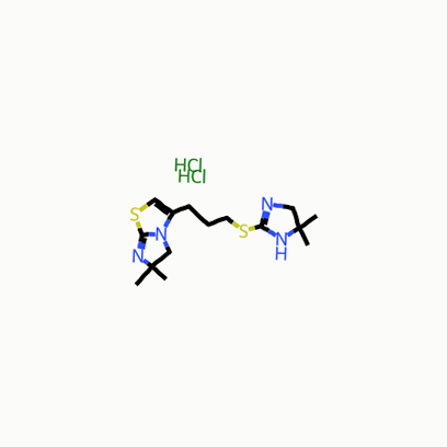 CC1(C)CN2C(CCCSC3=NCC(C)(C)N3)=CSC2=N1.Cl.Cl